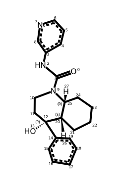 O=C(Nc1cccnc1)N1CC[C@](O)(c2ccccc2)[C@H]2CCCC[C@H]21